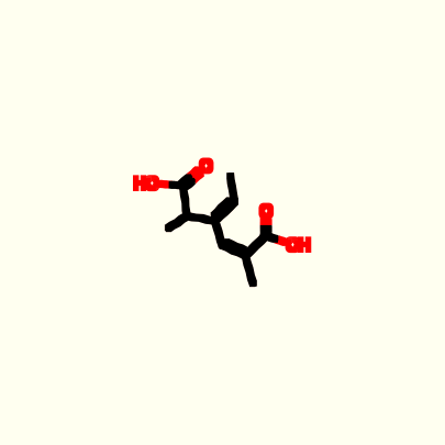 CC=C(C=C(C)C(=O)O)C(C)C(=O)O